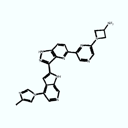 Cc1cn(-c2cncc3[nH]c(-c4n[nH]c5ccc(-c6cncc(N7CC(N)C7)n6)nc45)cc23)cn1